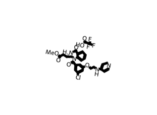 COC(=O)CCCN(C(=O)c1cc(Cl)cc(OCCNc2ccncc2)c1)c1ccccc1C(N)=O.O=C(O)C(F)(F)F